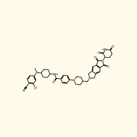 CN(c1ccc(C#N)c(Cl)c1)C1CCC(NC(=O)c2ccc(N3CCC(CN4Cc5cc6c(cc5C4)C(=O)N(C4CCC(=O)NC4=O)C6=O)CC3)cc2)CC1